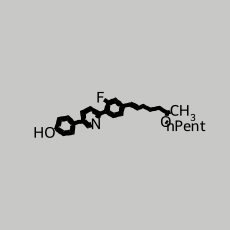 CCCCCOC(C)CCCC=Cc1ccc(-c2ccc(-c3ccc(O)cc3)cn2)c(F)c1